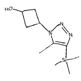 Cc1c([Si](C)(C)C)nnn1C1CC(O)C1